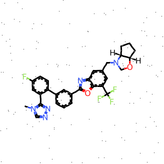 Cn1cnnc1-c1cc(F)ccc1-c1cccc(-c2nc3cc(CN4CO[C@H]5CCC[C@H]54)cc(C(F)(F)F)c3o2)c1